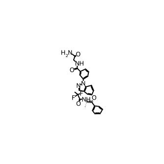 C[C@H](NC(=O)C(C)(F)F)[C@H](Oc1ccc2c(cnn2-c2cccc(C(=O)NCC(N)=O)c2)c1)c1ccccc1